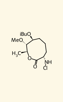 CO[C@H]1[C@H](C)OC(=O)[C@@H](NCl)CCC[C@@H]1OCC(C)C